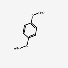 CCCCCCOc1ccc(O[C]=O)cc1